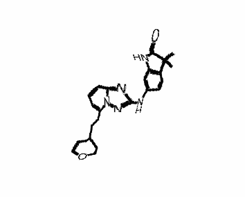 CC1(C)C(=O)Nc2cc(Nc3nc4cccc(CCC5CCOCC5)n4n3)ccc21